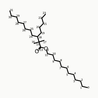 CCCCCCCCCCCCOC(=O)C(C)(C)C(CCCCC)CCCCCCCC